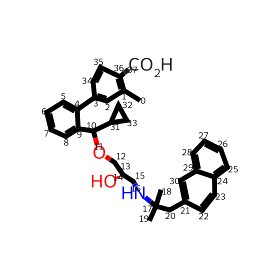 Cc1cc(-c2ccccc2C(OC[C@@H](O)CNC(C)(C)Cc2ccc3ccccc3c2)C2CC2)ccc1C(=O)O